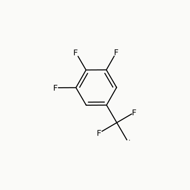 [CH2]C(F)(F)c1cc(F)c(F)c(F)c1